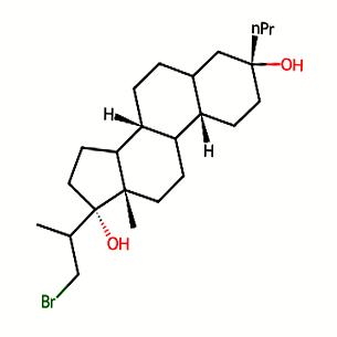 CCC[C@@]1(O)CC[C@H]2C(CC[C@@H]3C2CC[C@@]2(C)C3CC[C@]2(O)C(C)CBr)C1